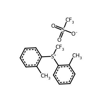 Cc1ccccc1[S+](c1ccccc1C)C(F)(F)F.O=S(=O)([O-])C(F)(F)F